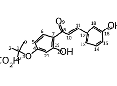 CC(C)(Oc1ccc(C(=O)C=Cc2cccc(O)c2)c(O)c1)C(=O)O